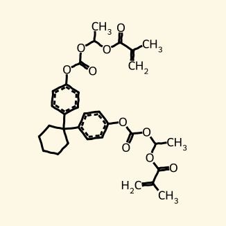 C=C(C)C(=O)OC(C)OC(=O)Oc1ccc(C2(c3ccc(OC(=O)OC(C)OC(=O)C(=C)C)cc3)CCCCC2)cc1